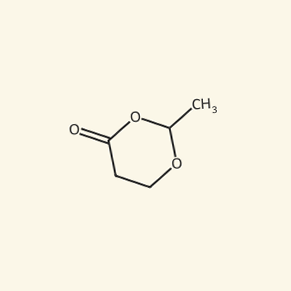 CC1OCCC(=O)O1